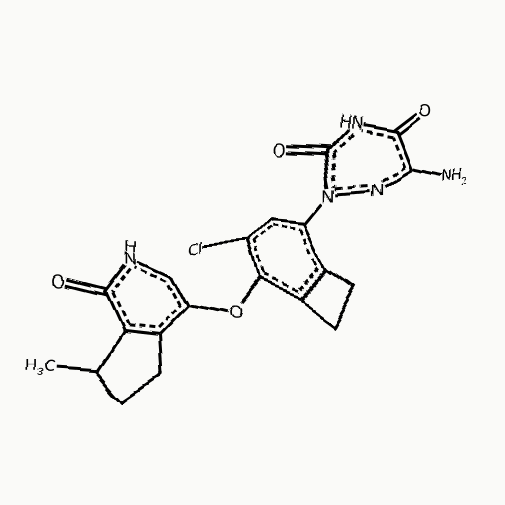 CC1CCc2c(Oc3c(Cl)cc(-n4nc(N)c(=O)[nH]c4=O)c4c3CC4)c[nH]c(=O)c21